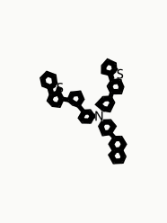 c1cc(-c2cccc(N(c3ccc(-c4ccc5ccccc5c4)cc3)c3ccc(-c4ccc5sc6ccccc6c5c4)cc3)c2)cc(-c2cccc3c2sc2ccccc23)c1